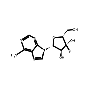 Nc1ncnc2c1ncn2[C@@H]1O[C@H](CO)[C@@](O)(F)[C@H]1O